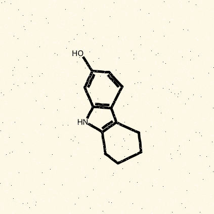 Oc1ccc2c3c([nH]c2c1)CCCC3